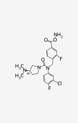 CN(C)[C@@H]1CCN(C(=O)N(Cc2ccc(C(=O)ON)cc2F)c2ccc(F)c(Cl)c2)C1